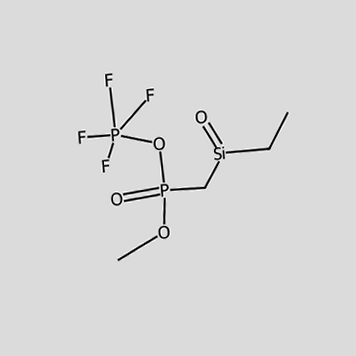 CC[Si](=O)CP(=O)(OC)OP(F)(F)(F)F